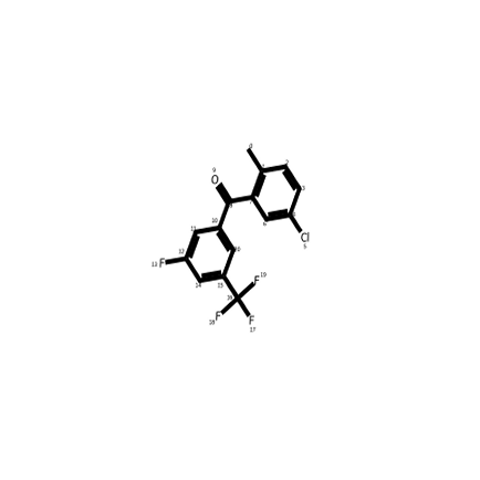 Cc1ccc(Cl)cc1C(=O)c1cc(F)cc(C(F)(F)F)c1